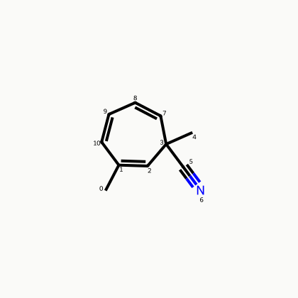 CC1=CC(C)(C#N)C=CC=C1